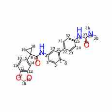 Cc1ccc(NC(=O)C2(c3ccc4c(c3)OCO4)CC2)cc1-c1ccc(NC(=O)N(C)C)cc1